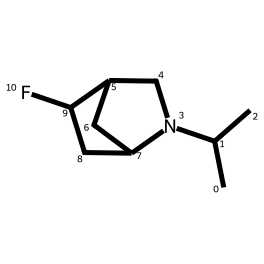 CC(C)N1CC2CC1CC2F